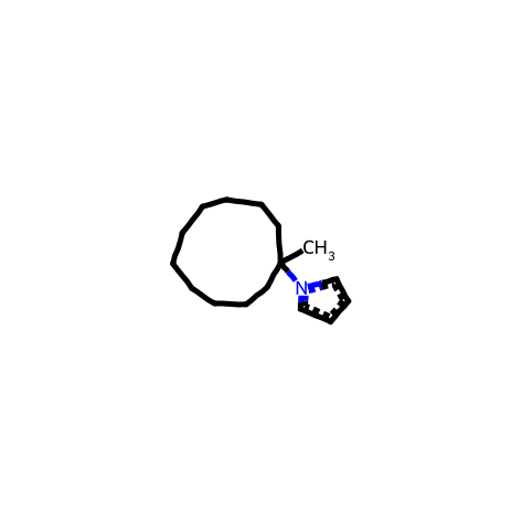 CC1(n2cccc2)CCCCCCCCCC1